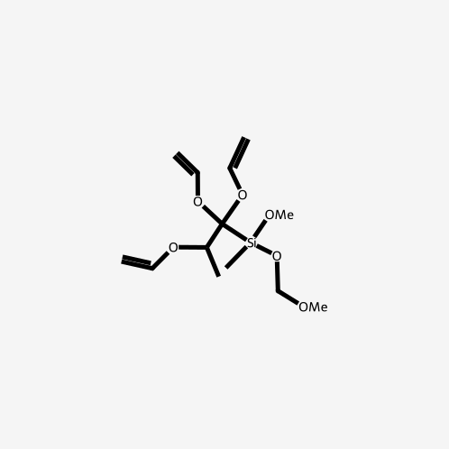 C=COC(C)C(OC=C)(OC=C)[Si](C)(OC)OCOC